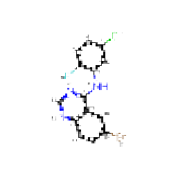 Fc1ccc(Cl)cc1Nc1ncnc2ccc(Br)cc12